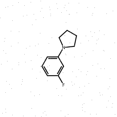 Fc1c[c]cc(N2CCCC2)c1